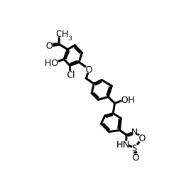 CC(=O)c1ccc(OCc2ccc(C(O)c3cccc(C4=NOS(=O)N4)c3)cc2)c(Cl)c1O